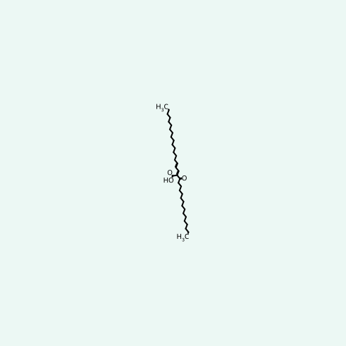 CCCCCCCCCCCCCCCC=CC=C(C(=O)O)C(=O)CCCCCCCCCCCCCCC